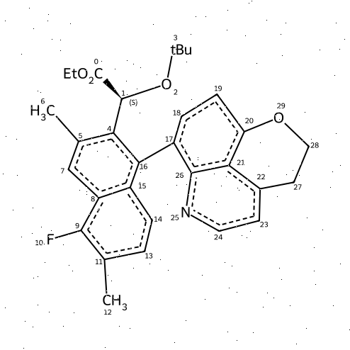 CCOC(=O)[C@@H](OC(C)(C)C)c1c(C)cc2c(F)c(C)ccc2c1-c1ccc2c3c(ccnc13)CCO2